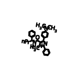 CCCC(NC(=O)c1c(-c2ccc(N(C)C)cc2)nc(-c2ccccc2)n1C)c1ccccc1